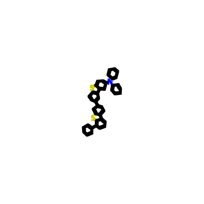 c1ccc(-c2cccc3c2sc2cc(-c4ccc5sc6ccc(N(c7ccccc7)c7ccccc7)cc6c5c4)ccc23)cc1